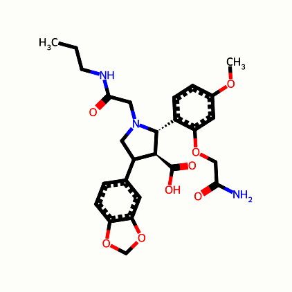 CCCNC(=O)CN1CC(c2ccc3c(c2)OCO3)[C@H](C(=O)O)[C@H]1c1ccc(OC)cc1OCC(N)=O